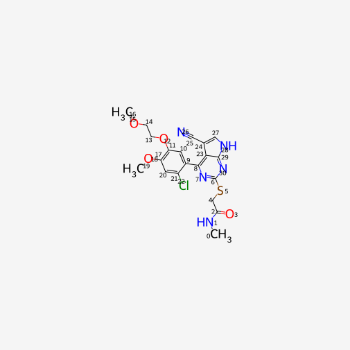 CNC(=O)CSc1nc(-c2cc(OCCOC)c(OC)cc2Cl)c2c(C#N)c[nH]c2n1